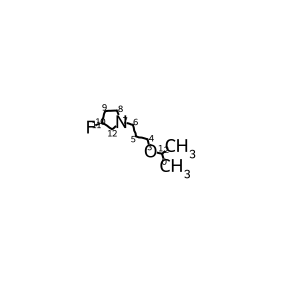 CC(C)OCCCN1CC[C@H](F)C1